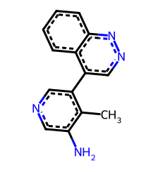 Cc1c(N)cncc1-c1cnnc2ccccc12